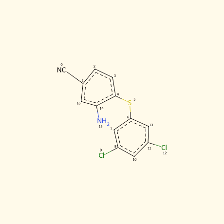 N#Cc1ccc(Sc2cc(Cl)cc(Cl)c2)c(N)c1